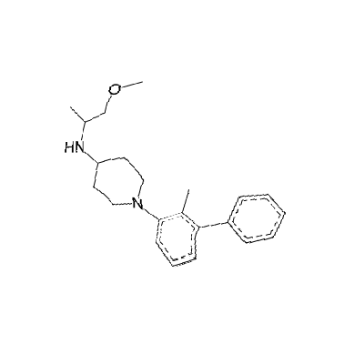 COCC(C)NC1CCN(c2cccc(-c3ccccc3)c2C)CC1